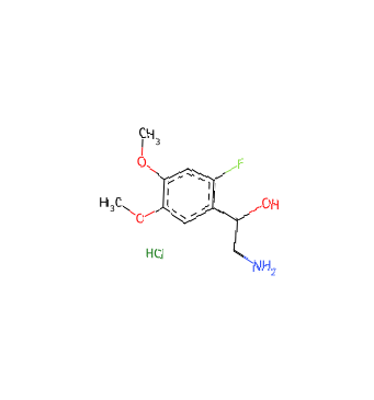 COc1cc(F)c(C(O)CN)cc1OC.Cl